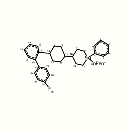 CCCCC[Si]1(c2ccccc2)CCC(C2CCC(c3ccccc3-c3ccc(F)cc3)CC2)CC1